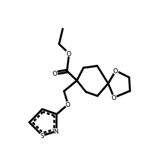 CCOC(=O)C1(COc2ccsn2)CCC2(CC1)OCCO2